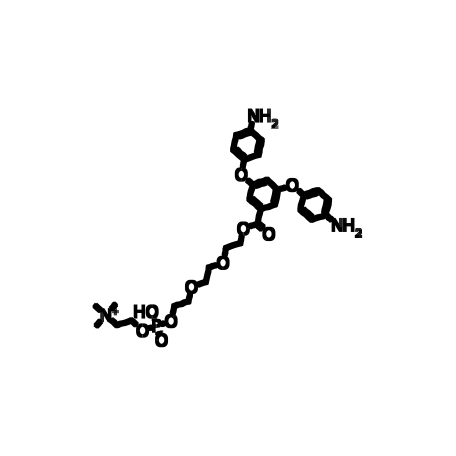 C[N+](C)(C)CCOP(=O)(O)OCCOCCOCCOC(=O)c1cc(Oc2ccc(N)cc2)cc(Oc2ccc(N)cc2)c1